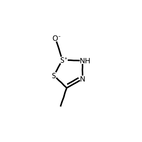 CC1=NN[S+]([O-])S1